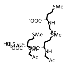 CSCC[C@H](NCC(C)=O)C(=O)[O-].CSCC[C@H](NCC(C)=O)C(=O)[O-].CSCC[C@H](NCC(C)=O)C(=O)[O-].Cl.S.[Al+3]